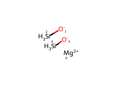 [Mg+2].[O-][SiH3].[O-][SiH3]